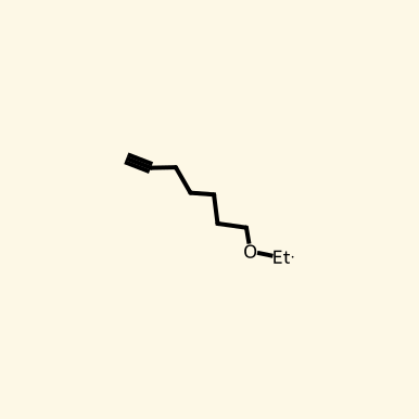 C#CCCCCCO[CH]C